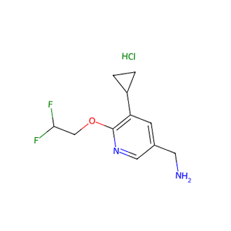 Cl.NCc1cnc(OCC(F)F)c(C2CC2)c1